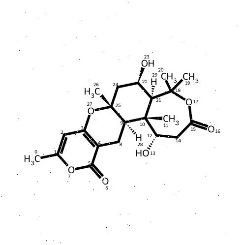 Cc1cc2c(c(=O)o1)C[C@@H]1[C@@]3(C)[C@@H](O)CC(=O)OC(C)(C)[C@@H]3[C@H](O)C[C@@]1(C)O2